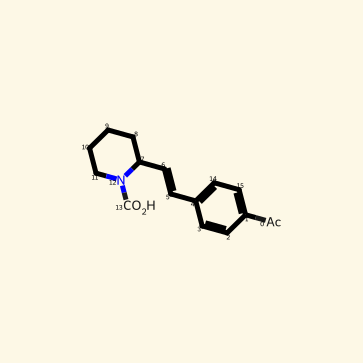 CC(=O)c1ccc(C=CC2CCCCN2C(=O)O)cc1